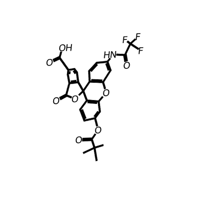 CC(C)(C)C(=O)Oc1ccc2c(c1)Oc1cc(NC(=O)C(F)(F)F)ccc1C21OC(=O)c2cc(C(=O)O)ccc21